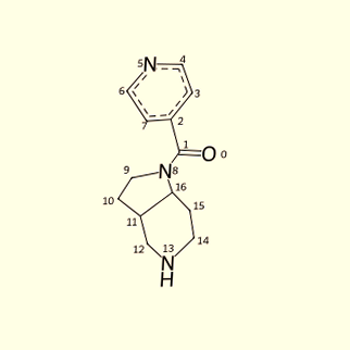 O=C(c1ccncc1)N1CCC2CNCCC21